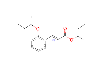 CCC(C)OC(=O)/C=C/c1ccccc1OC(C)CC